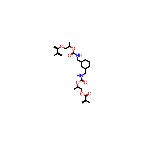 C=C(C)C(=C)OCC(C)OC(=O)NCC1CCCC(CNC(=O)OC(C)COC(=O)C(=C)C)C1